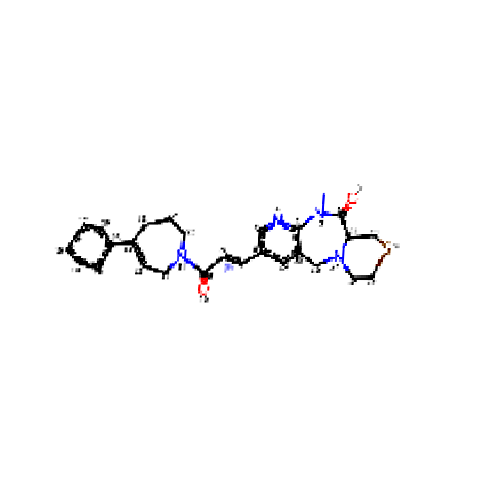 O=C1Nc2ncc(/C=C/C(=O)N3CC=C(c4ccccc4)CCC3)cc2CN2CCSCC12